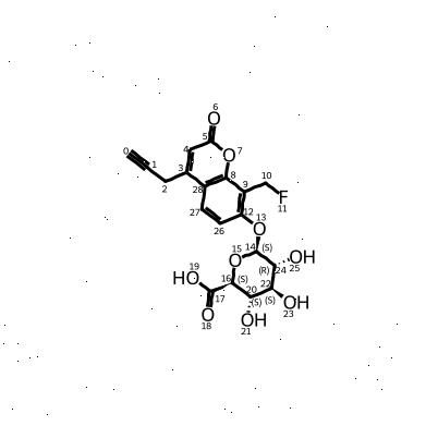 C#CCc1cc(=O)oc2c(CF)c(O[C@@H]3O[C@H](C(=O)O)[C@@H](O)[C@H](O)[C@H]3O)ccc12